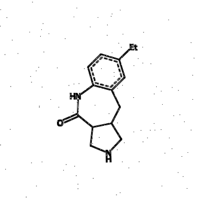 CCc1ccc2c(c1)CC1CNCC1C(=O)N2